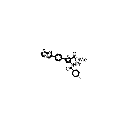 COC(=O)c1sc(-c2ccc(-c3cn4ccsc4n3)cc2)cc1N(C(=O)[C@H]1CC[C@H](C)CC1)C(C)C